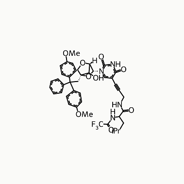 COc1ccc(C(C[C@]23CO[C@@H](C2O)[C@H](n2cc(C#CCNC(=O)C(CC(C)C)NC(=O)C(F)(F)F)c(=O)[nH]c2=O)O3)(c2ccccc2)c2ccc(OC)cc2)cc1